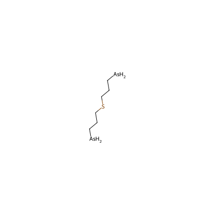 [AsH2]CCCSCCC[AsH2]